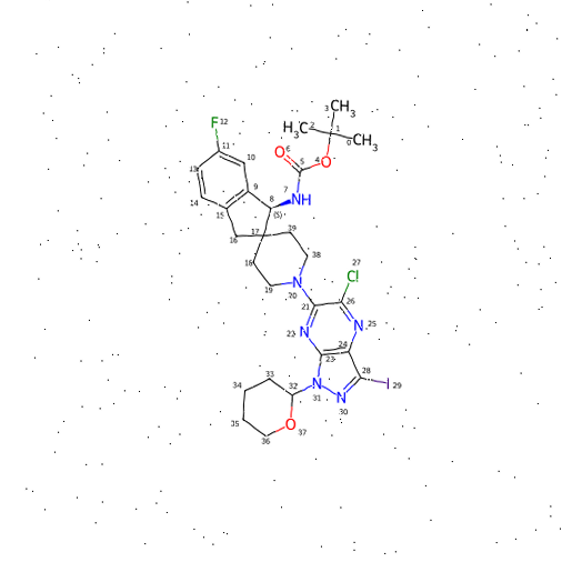 CC(C)(C)OC(=O)N[C@@H]1c2cc(F)ccc2CC12CCN(c1nc3c(nc1Cl)c(I)nn3C1CCCCO1)CC2